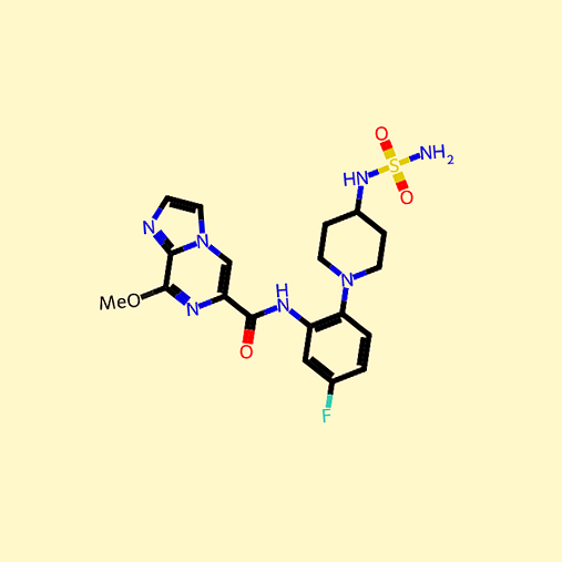 COc1nc(C(=O)Nc2cc(F)ccc2N2CCC(NS(N)(=O)=O)CC2)cn2ccnc12